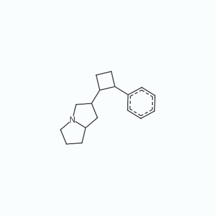 c1ccc(C2CCC2C2CC3CCCN3C2)cc1